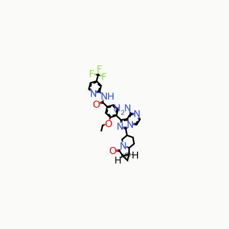 CCOc1cc(C(=O)Nc2cc(C(F)(F)F)ccn2)ccc1-c1nc(C2CCC3[C@H]4C[C@@H]4C(=O)N3C2)n2ccnc(N)c12